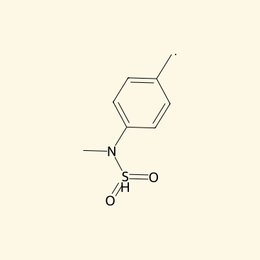 [CH2]c1ccc(N(C)[SH](=O)=O)cc1